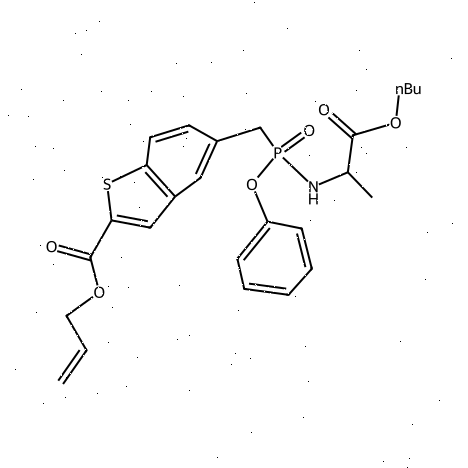 C=CCOC(=O)c1cc2cc(CP(=O)(NC(C)C(=O)OCCCC)Oc3ccccc3)ccc2s1